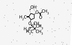 C=C1[C@H](O[Si](C)(C)C(C)(C)C)C[C@H](OC(C)=O)[C@H]1CO